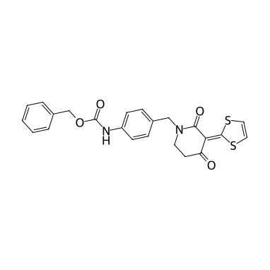 O=C(Nc1ccc(CN2CCC(=O)C(=C3SC=CS3)C2=O)cc1)OCc1ccccc1